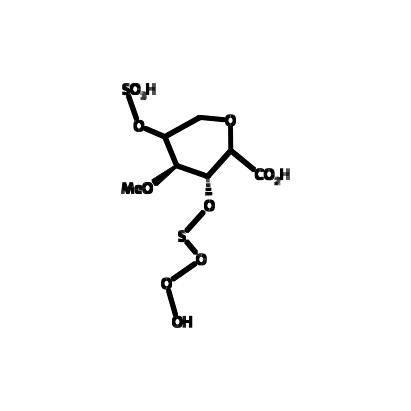 CO[C@H]1C(OS(=O)(=O)O)COC(C(=O)O)[C@@H]1OSOOO